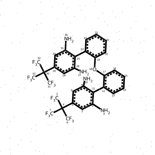 Nc1cc(C(C(F)(F)F)(C(F)(F)F)C(F)(F)F)cc(N)c1-c1ccccc1Oc1ccccc1-c1c(N)cc(C(C(F)(F)F)(C(F)(F)F)C(F)(F)F)cc1N